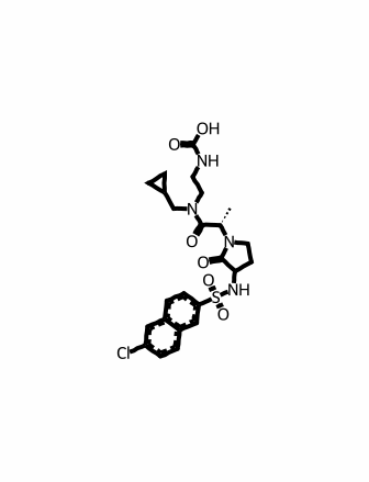 C[C@@H](C(=O)N(CCNC(=O)O)CC1CC1)N1CCC(NS(=O)(=O)c2ccc3cc(Cl)ccc3c2)C1=O